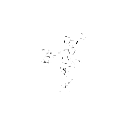 C[C@@H](NC(=O)OC(C)(C)C)C(=O)OCN(c1nn(CC(F)(F)F)c2c(-c3ccc(C#CC(C)(C)S(C)(=O)=O)nc3[C@H](Cc3cc(F)cc(F)c3)NC(=O)Cn3nc(C(F)(F)F)c4c3C(F)(F)[C@@H]3CC43)ccc(Cl)c12)S(C)(=O)=O